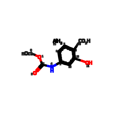 CCCCCCCCOC(=O)Nc1ccc(C(=O)O)c(O)c1.[AlH3]